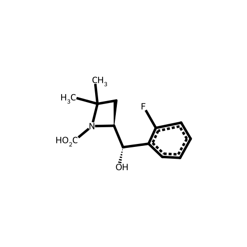 CC1(C)C[C@@H]([C@@H](O)c2ccccc2F)N1C(=O)O